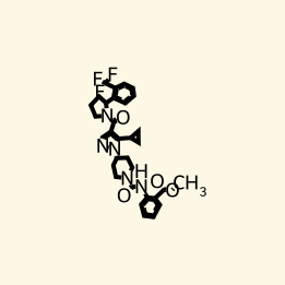 COC(=O)c1ccccc1NC(=O)N1CCC(n2ncc(C(=O)N3CCCC3c3ccccc3C(F)(F)F)c2C2CC2)CC1